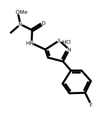 CON(C)C(=O)Nc1cc(-c2ccc(F)cc2)ns1.Cl